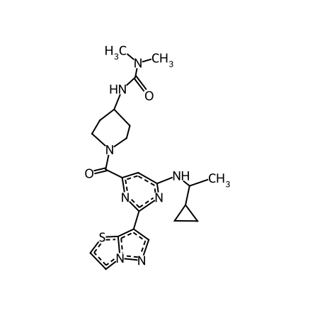 CC(Nc1cc(C(=O)N2CCC(NC(=O)N(C)C)CC2)nc(-c2cnn3ccsc23)n1)C1CC1